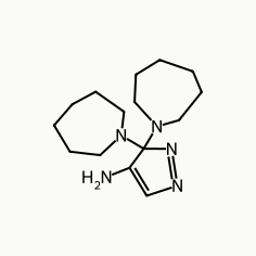 NC1=CN=NC1(N1CCCCCC1)N1CCCCCC1